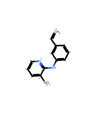 C=Cc1cccc(Nc2ncccc2[N+](=O)[O-])c1